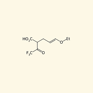 CCOC=CCC(C(=O)O)C(=O)C(F)(F)F